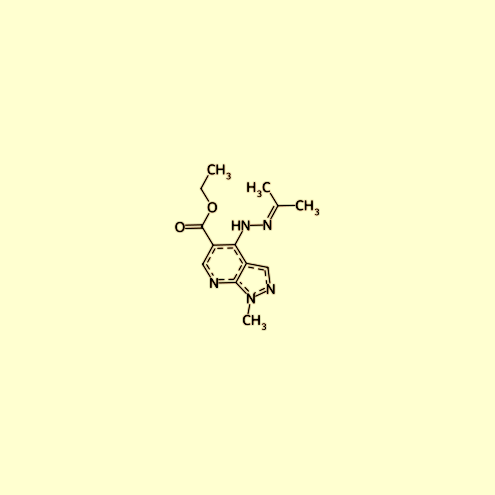 CCOC(=O)c1cnc2c(cnn2C)c1NN=C(C)C